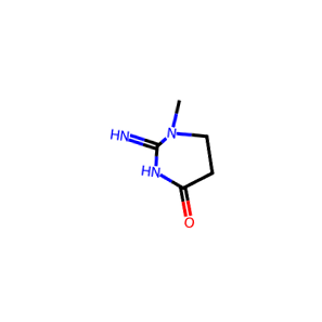 CN1CCC(=O)NC1=N